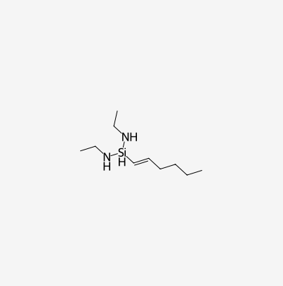 CCCCC=C[SiH](NCC)NCC